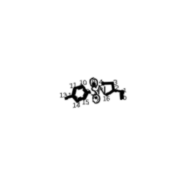 C=CC1CCN(S(=O)(=O)c2ccc(C)cc2)C1